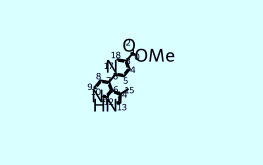 COC(=O)c1ccc(-c2ccnc3[nH]cc(C)c23)nc1